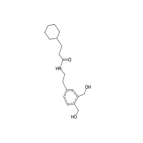 O=C(CCC1CCCCC1)NCCc1ccc(CO)c(CO)c1